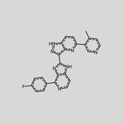 Cc1ccncc1-c1ccc2[nH]nc(-c3nc4c(-c5ccc(F)cc5)nccc4[nH]3)c2n1